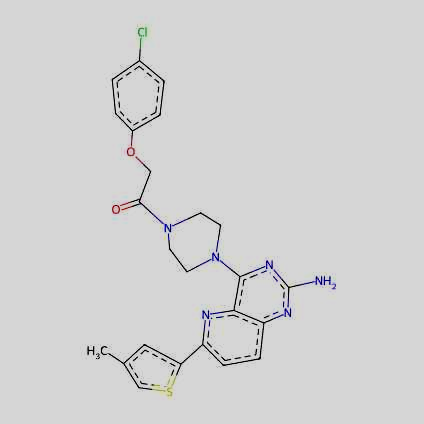 Cc1csc(-c2ccc3nc(N)nc(N4CCN(C(=O)COc5ccc(Cl)cc5)CC4)c3n2)c1